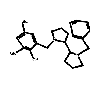 CC(C)(C)c1cc(CN2CCCC2C2CCCN2Cc2ccccn2)c(O)c(C(C)(C)C)c1